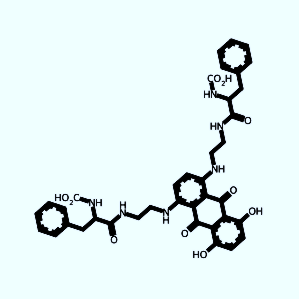 O=C(O)NC(Cc1ccccc1)C(=O)NCCNc1ccc(NCCNC(=O)C(Cc2ccccc2)NC(=O)O)c2c1C(=O)c1c(O)ccc(O)c1C2=O